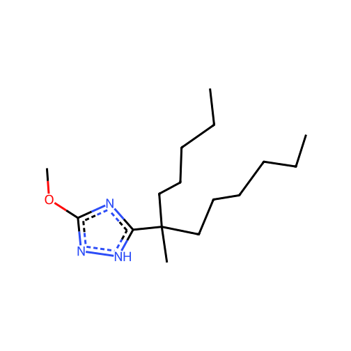 CCCCCCC(C)(CCCCC)c1nc(OC)n[nH]1